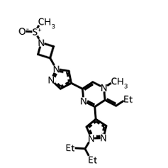 CC/C=C1/C(c2cnn(C(CC)CC)c2)=NC(c2cnn(C3CN([S+](C)[O-])C3)c2)=CN1C